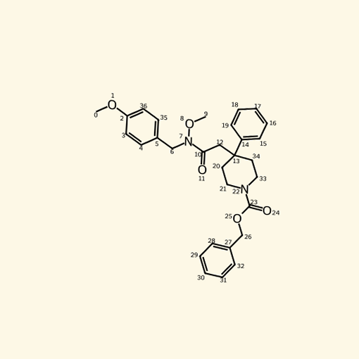 COc1ccc(CN(OC)C(=O)CC2(c3ccccc3)CCN(C(=O)OCc3ccccc3)CC2)cc1